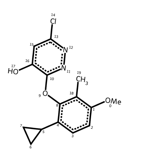 COc1ccc(C2CC2)c(Oc2nnc(Cl)cc2O)c1C